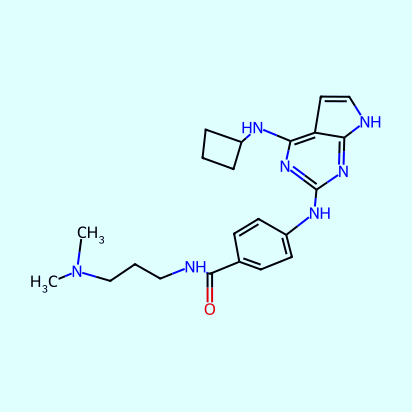 CN(C)CCCNC(=O)c1ccc(Nc2nc(NC3CCC3)c3cc[nH]c3n2)cc1